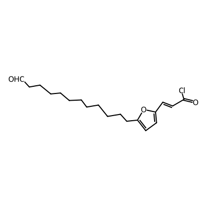 O=CCCCCCCCCCCCc1ccc(/C=C/C(=O)Cl)o1